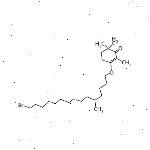 CC1=C(OCCCC[C@@H](C)CCCCCCCCCCBr)CCC(C)(C)C1=O